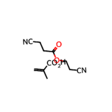 C=C(C)C(=O)O.N#CCCOC(=O)CCC#N